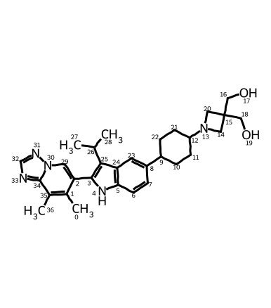 Cc1c(-c2[nH]c3ccc(C4CCC(N5CC(CO)(CO)C5)CC4)cc3c2C(C)C)cn2ncnc2c1C